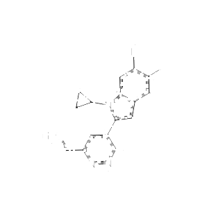 C=Cc1cc(-c2cc3cc(F)c(F)cc3n2C2CC2)cnn1